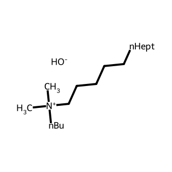 CCCCCCCCCCCC[N+](C)(C)CCCC.[OH-]